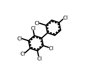 Clc1ccc(-c2c(Cl)c(Cl)c(Cl)c(Cl)c2Cl)c(Cl)c1